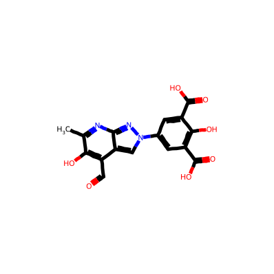 Cc1nc2nn(-c3cc(C(=O)O)c(O)c(C(=O)O)c3)cc2c(C=O)c1O